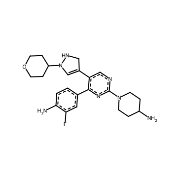 Nc1ccc(-c2nc(N3CCC(N)CC3)ncc2C2=CN(C3CCOCC3)NC2)cc1F